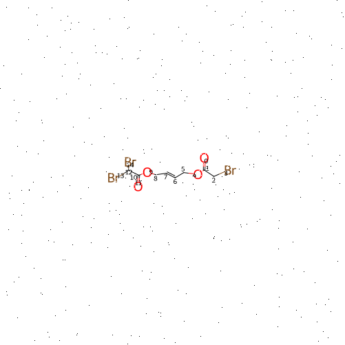 O=C(CBr)OC/C=C/COC(=O)C(Br)Br